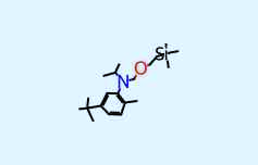 Cc1ccc(C(C)(C)C)cc1N(COCC[Si](C)(C)C)C(C)C